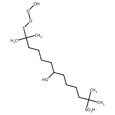 CC(C)(CCCCC(O)CCCCC(C)(C)S(=O)(=O)O)SOOO